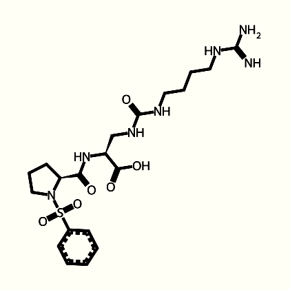 N=C(N)NCCCCNC(=O)NC[C@H](NC(=O)[C@@H]1CCCN1S(=O)(=O)c1ccccc1)C(=O)O